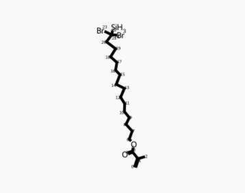 C=C(C)C(=O)OCCCCCCCCCCCCCCCC([SiH3])(Br)Br